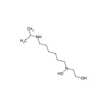 CC(C)NCCCCCCN(O)CCO